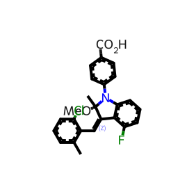 COC1(C)/C(=C\c2c(C)cccc2Cl)c2c(F)cccc2N1c1ccc(C(=O)O)cc1